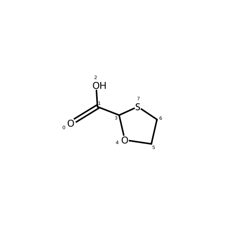 O=C(O)C1OCCS1